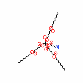 CCCCCCCCCCOC(=O)CCCCC(=O)OCC(COC(=O)CCCCC(=O)OCCCCCCCCCC)(COC(=O)CCCCC(=O)OCCCCCCCCCC)COC(=O)CCCN(C)C